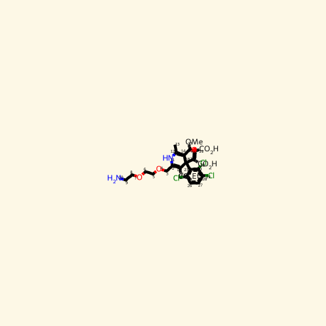 CCOC(=O)C1=C(COCCOCCN)NC(C)=C(C(=O)OC)C1(/C(=C/C(=O)O)C(=O)O)c1c(Cl)ccc(Cl)c1Cl